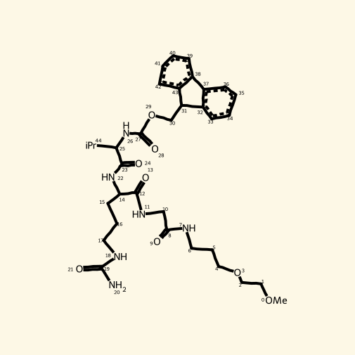 COCCOCCCNC(=O)CNC(=O)C(CCCNC(N)=O)NC(=O)C(NC(=O)OCC1c2ccccc2-c2ccccc21)C(C)C